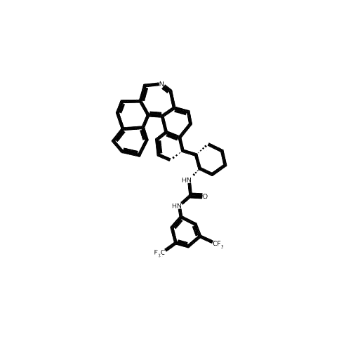 O=C(Nc1cc(C(F)(F)F)cc(C(F)(F)F)c1)N[C@H]1CCCC[C@H]1[C@@H]1CC=CC2=C1CC=C1C=NC=c3ccc4ccccc4c3=C12